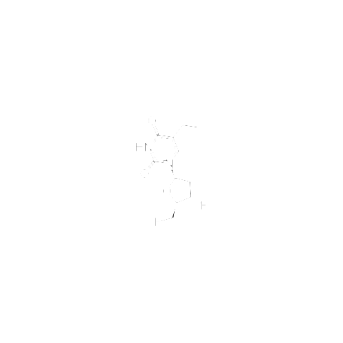 CCc1cn([C@H]2C[C@H](F)[C@@H](CF)O2)c(=O)[nH]c1=O